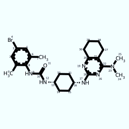 Cc1cc(Br)cc(C)c1NC(=O)N[C@H]1CC[C@@H](Nc2nc3c(c(N(C)C)n2)CCCC3)CC1